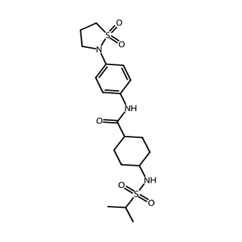 CC(C)S(=O)(=O)NC1CCC(C(=O)Nc2ccc(N3CCCS3(=O)=O)cc2)CC1